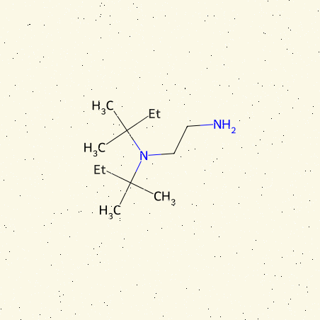 CCC(C)(C)N(CCN)C(C)(C)CC